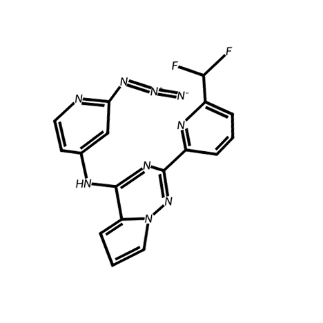 [N-]=[N+]=Nc1cc(Nc2nc(-c3cccc(C(F)F)n3)nn3cccc23)ccn1